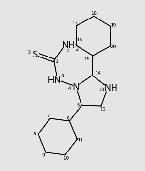 NC(=S)NN1C(C2CCCCC2)CNC1C1CCCCC1